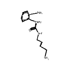 NCCCCNC(=S)Nc1ccccc1N